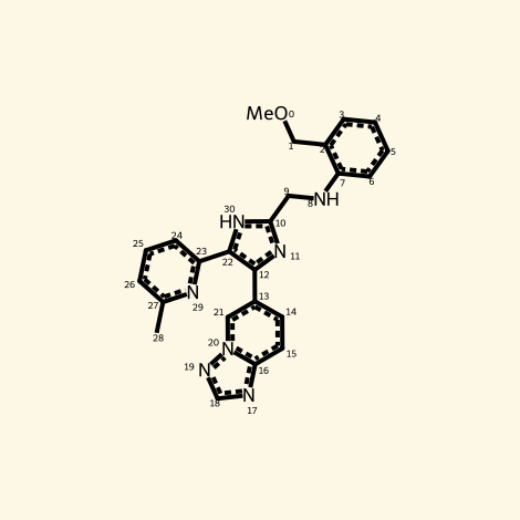 COCc1ccccc1NCc1nc(-c2ccc3ncnn3c2)c(-c2cccc(C)n2)[nH]1